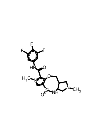 CN1CC2COc3c(cn(C)c3C(=O)Nc3cc(F)c(F)c(F)c3)[S+]([O-])NC2C1